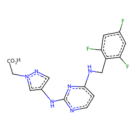 O=C(O)Cn1cc(Nc2nccc(NCc3c(F)cc(F)cc3F)n2)cn1